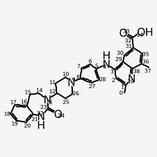 Cc1cc(Nc2ccc(N3CCC(N4CCc5ccccc5NC4=O)CC3)cc2)c2cc(C(=O)O)cc(C)c2n1